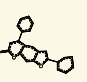 O=c1cc(-c2ccccc2)c2cc3cc(-c4ccccc4)oc3cc2o1